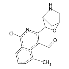 Cc1cccc2c(Cl)nc(C3OC4CNC3C4)c(C=O)c12